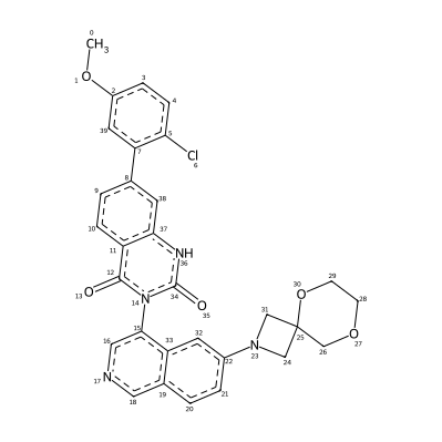 COc1ccc(Cl)c(-c2ccc3c(=O)n(-c4cncc5ccc(N6CC7(COCCO7)C6)cc45)c(=O)[nH]c3c2)c1